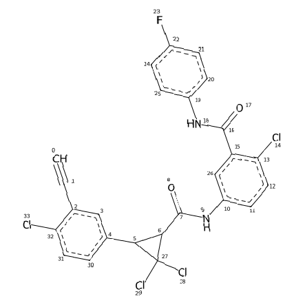 C#Cc1cc(C2C(C(=O)Nc3ccc(Cl)c(C(=O)Nc4ccc(F)cc4)c3)C2(Cl)Cl)ccc1Cl